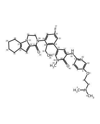 CN(C)CCOc1ccc(Nc2cc(-c3cc(F)cc(N4CCn5c(cc6c5CCCC6)C4=O)c3CO)cn(C)c2=O)nc1